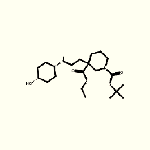 CCOC(=O)C1(CCN[C@H]2CC[C@@H](O)CC2)CCCN(C(=O)OC(C)(C)C)C1